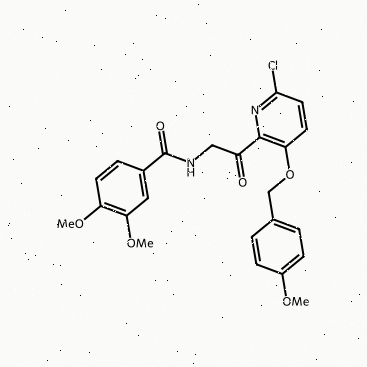 COc1ccc(COc2ccc(Cl)nc2C(=O)CNC(=O)c2ccc(OC)c(OC)c2)cc1